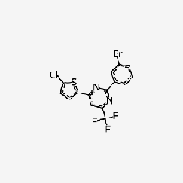 FC(F)(F)c1cc(-c2ccc(Cl)s2)nc(-c2cccc(Br)c2)n1